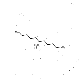 CCCCCCCCCCC.F.O